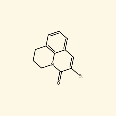 CCc1cc2cccc3c2n(c1=O)CCC3